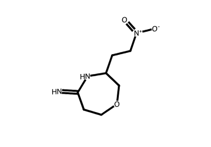 N=C1CCOCC(CC[N+](=O)[O-])N1